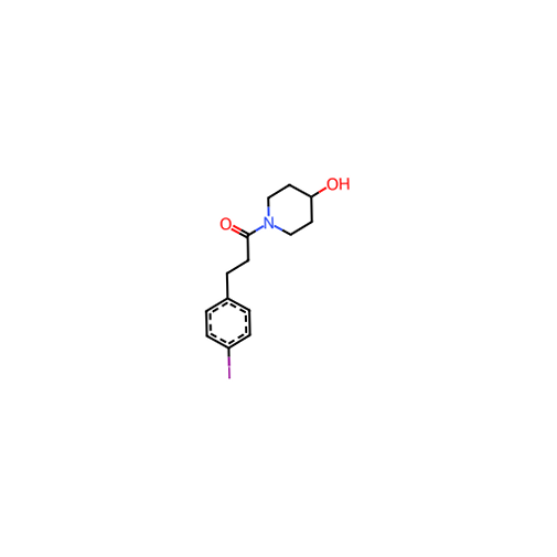 O=C(CCc1ccc(I)cc1)N1CCC(O)CC1